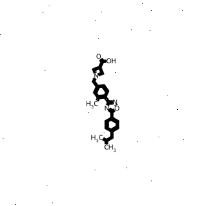 Cc1cc(CN2CC(C(=O)O)C2)ccc1-c1noc(-c2ccc(CC(C)C)cc2)n1